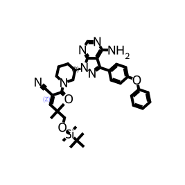 CC(C)(/C=C(/C#N)C(=O)N1CCC[C@@H](n2nc(-c3ccc(Oc4ccccc4)cc3)c3c(N)ncnc32)C1)CO[Si](C)(C)C(C)(C)C